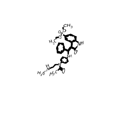 CCOP(=O)(OCC)c1ccc2c(c1)/C(=C(/Nc1ccc(N(CCNC)C(C)=O)cc1)c1ccccc1)C(=O)N2